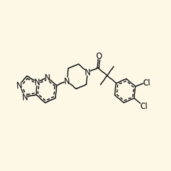 CC(C)(C(=O)N1CCN(c2ccc3nncn3n2)CC1)c1ccc(Cl)c(Cl)c1